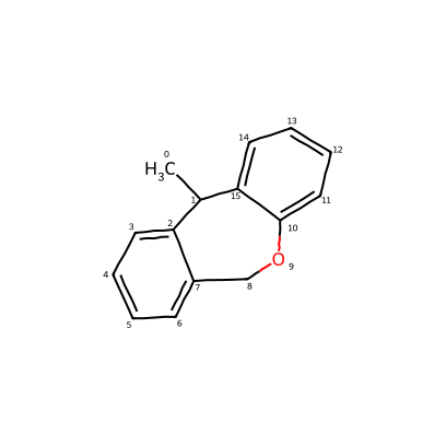 CC1c2ccccc2COc2ccccc21